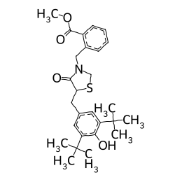 COC(=O)c1ccccc1CN1CSC(Cc2cc(C(C)(C)C)c(O)c(C(C)(C)C)c2)C1=O